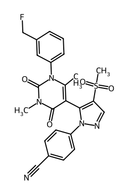 Cc1c(-c2c(S(C)(=O)=O)cnn2-c2ccc(C#N)cc2)c(=O)n(C)c(=O)n1-c1cccc(CF)c1